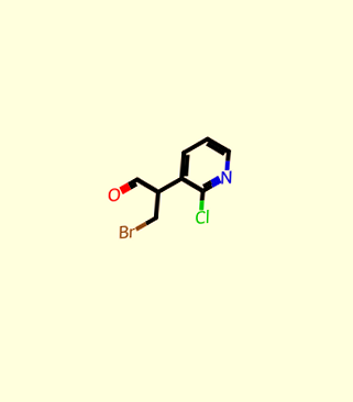 O=CC(CBr)c1cccnc1Cl